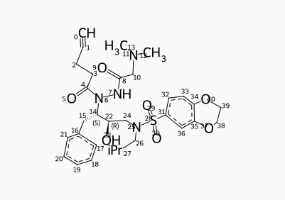 C#CCCC(=O)N(NC(=O)CN(C)C)[C@@H](Cc1ccccc1)[C@H](O)CN(CC(C)C)S(=O)(=O)c1ccc2c(c1)OCCO2